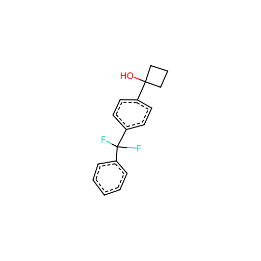 OC1(c2ccc(C(F)(F)c3ccccc3)cc2)CCC1